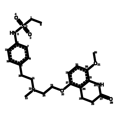 CCS(=O)(=O)Nc1ccc(CCN(C)CCOc2ccc(OC)c3c2CCC(=O)N3)cc1